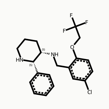 FC(F)(F)COc1ccc(Cl)cc1CN[C@H]1CCCN[C@H]1c1ccccc1